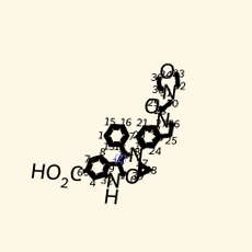 O=C1Nc2cc(C(=O)O)ccc2/C1=C(\c1ccccc1)N(c1ccc2c(c1)CCN2C(=O)CN1CCOCC1)C1CC1